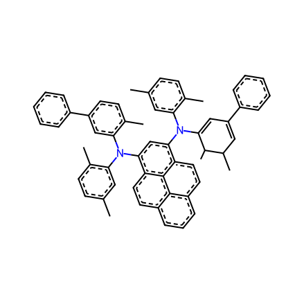 Cc1ccc(C)c(N(C2=CC(c3ccccc3)=CC(C)C2C)c2cc(N(c3cc(C)ccc3C)c3cc(-c4ccccc4)ccc3C)c3ccc4cccc5ccc2c3c54)c1